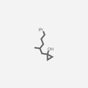 CC(C)CCCC(C)CC1(O)CC1